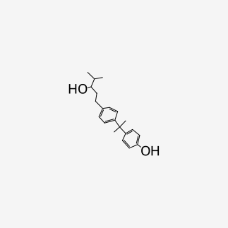 CC(C)C(O)CCc1ccc(C(C)(C)c2ccc(O)cc2)cc1